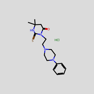 CC1(C)CC(=O)N(CCN2CCN(c3ccccc3)CC2)C(=S)N1.Cl